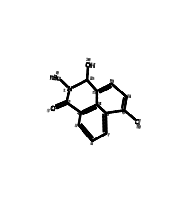 CCCCN1C(=O)c2cccc3c(Cl)ccc(c23)C1O